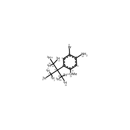 [2H]C([2H])([2H])C(c1cc(Br)c(N)cc1OC)(C([2H])([2H])[2H])C([2H])([2H])[2H]